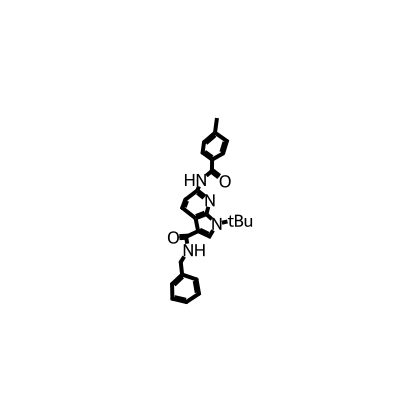 Cc1ccc(C(=O)Nc2ccc3c(C(=O)NCc4ccccc4)cn(C(C)(C)C)c3n2)cc1